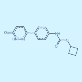 O=C(Nc1ccc(-c2ccc(=O)[nH]n2)cc1)OC1CCC1